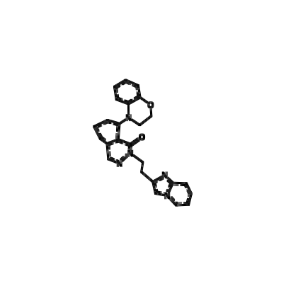 O=c1c2c(N3CCOc4ccccc43)cccc2cnn1CCc1cn2ccccc2n1